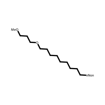 CCCCCCCCCCCCCCCCCCOCCCOC